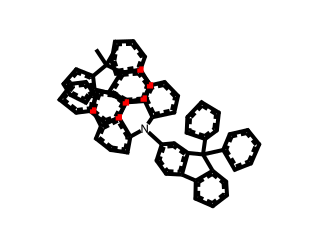 CC1(C)c2ccccc2-c2c(-c3c(-c4ccccc4)cccc3N(c3ccc4c(c3)C(c3ccccc3)(c3ccccc3)c3ccccc3-4)c3cccc(-c4ccccc4)c3-c3ccccc3)cccc21